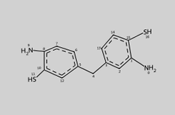 Nc1cc(Cc2ccc(N)c(S)c2)ccc1S